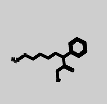 NSCCCCC(C(=O)CBr)c1ccccc1